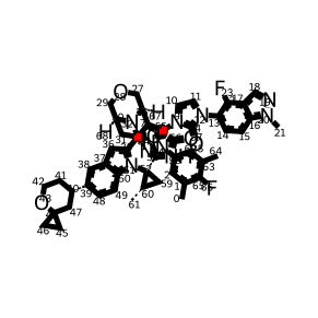 Cc1cc(-n2nc3c(c2-n2ccn(-c4ccc5c(cnn5C)c4F)c2=O)[C@@H]2COC[C@H](C3)N2C(=O)c2cc3cc([C@H]4CCOC5(CC5)C4)ccc3n2[C@@]2(c3noc(=O)[nH]3)C[C@@H]2C)cc(C)c1F